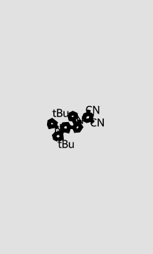 CC(C)(C)c1ccc2c(c1)c1cc(-c3cccc4c3c3cc(C(C)(C)C)ccc3n4-c3cc(C#N)cc(C#N)c3)ccc1n2-c1ccccc1